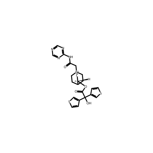 O=C(C[N+]12CCC(CC1)[C@@H](OC(=O)C(O)(c1ccsc1)c1ccsc1)C2)Nc1ncncn1